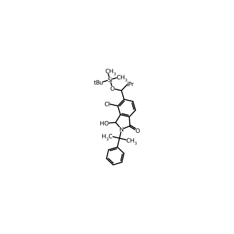 CC(C)C(O[Si](C)(C)C(C)(C)C)c1ccc2c(c1Cl)C(O)N(C(C)(C)c1ccccc1)C2=O